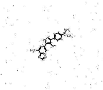 Cc1cc(-c2[nH]nc(-c3ccc([C@@H](C)N)cc3)c2C(C)C)cn2ncnc12